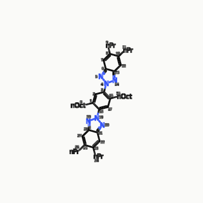 CCCCCCCCc1cc(-n2nc3cc(CCC)c(CCC)cc3n2)c(CCCCCCCC)cc1-n1nc2cc(CCC)c(CCC)cc2n1